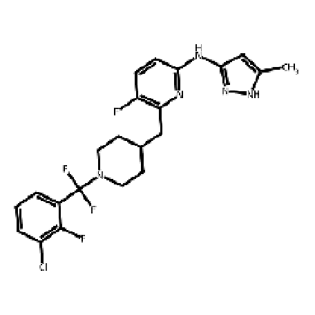 Cc1cc(Nc2ccc(F)c(CC3CCN(C(F)(F)c4cccc(Cl)c4F)CC3)n2)n[nH]1